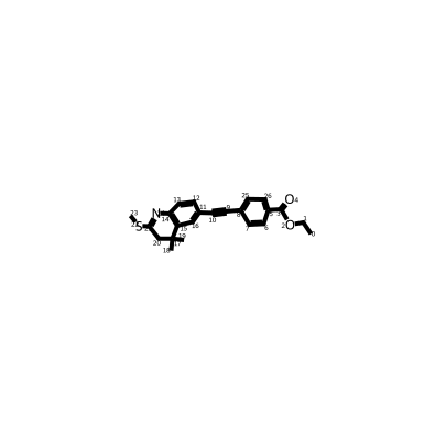 CCOC(=O)c1ccc(C#Cc2ccc3c(c2)C(C)(C)CC(SC)=N3)cc1